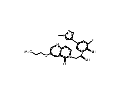 COCCOc1cnc2ccn(CC(=N)n3cc(-c4cnn(C)c4)cc(F)c3=N)c(=O)c2c1